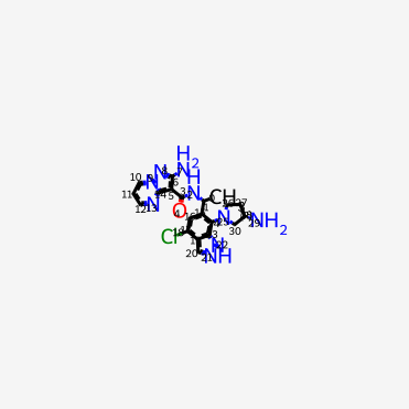 CC(NC(=O)c1c(N)nn2cccnc12)c1cc(Cl)c2c[nH]nc2c1N1CC[C@@H](N)C1